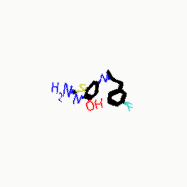 Nc1nc2c(O)cc(N3CC3Cc3cccc(F)c3)cc2s1